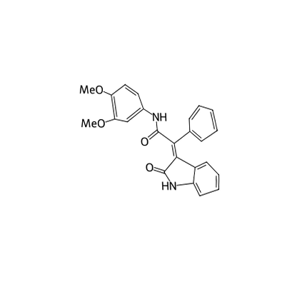 COc1ccc(NC(=O)C(=C2C(=O)Nc3ccccc32)c2ccccc2)cc1OC